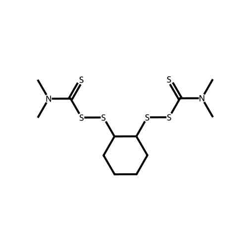 CN(C)C(=S)SSC1CCCCC1SSC(=S)N(C)C